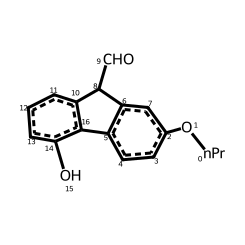 CCCOc1ccc2c(c1)C(C=O)c1cccc(O)c1-2